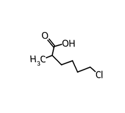 CC(CCCCCl)C(=O)O